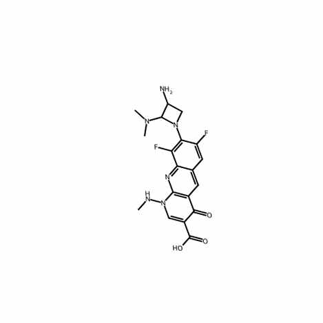 CNn1cc(C(=O)O)c(=O)c2cc3cc(F)c(N4CC(N)C4N(C)C)c(F)c3nc21